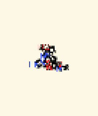 O=C(c1ncn([C@@H]2CCCC[C@@]2(O)CC2CC2)c1-c1ccccc1)N1CCNC[C@H]1CCOc1ccc2oc(C3CC3)nc2c1